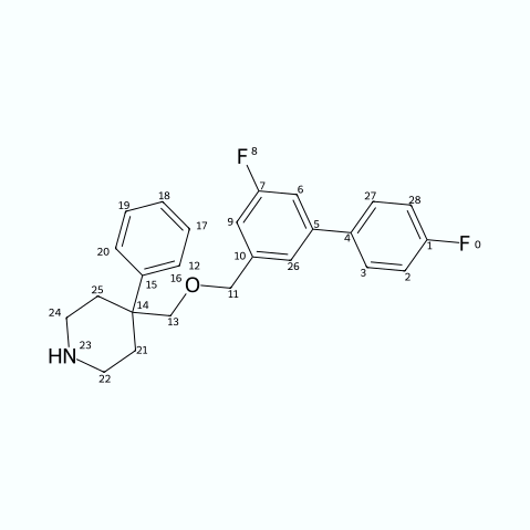 Fc1ccc(-c2cc(F)cc(COCC3(c4ccccc4)CCNCC3)c2)cc1